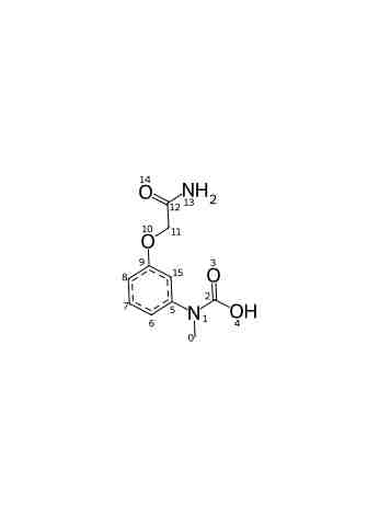 CN(C(=O)O)c1cccc(OCC(N)=O)c1